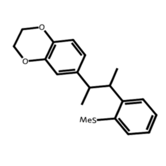 CSc1ccccc1C(C)C(C)c1ccc2c(c1)OCCO2